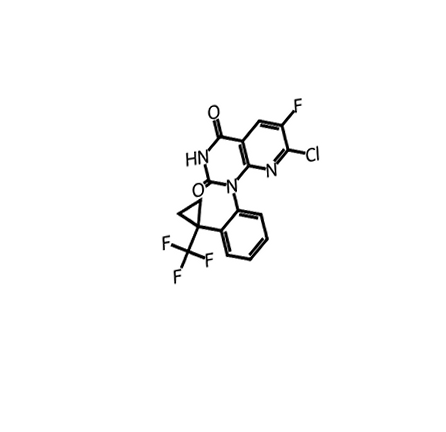 O=c1[nH]c(=O)n(-c2ccccc2C2(C(F)(F)F)CC2)c2nc(Cl)c(F)cc12